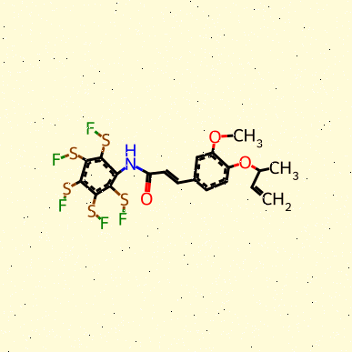 C=CC(C)Oc1ccc(C=CC(=O)Nc2c(SF)c(SF)c(SF)c(SF)c2SF)cc1OC